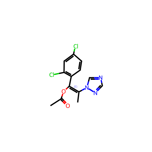 CC(=O)O/C(=C(\C)n1cncn1)c1ccc(Cl)cc1Cl